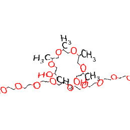 CC(O)COC(C)COC(C)COC(C)COC(C)CO.OCCOCCOCCOCCOCCOCCOCCOCCO